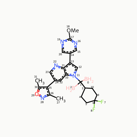 BC(B)(C1CCC(F)(F)CC1)n1cc(-c2cnc(OC)nc2)c2ncc(-c3c(C)noc3C)cc21